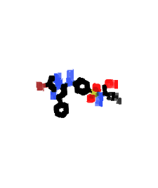 CC(CO)NS(=O)(=O)c1ccc(Nc2cc(-c3ccccc3)nc3c(Br)cnn23)cc1